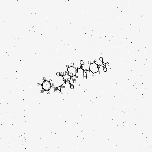 CS(=O)(=O)N1CCC(NC(=O)N2CCN3C(=O)N([C@H]4C[C@@H]4c4ccccc4)C(=O)[C@@H]3C2)CC1